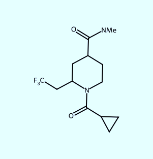 CNC(=O)C1CCN(C(=O)C2CC2)C(CC(F)(F)F)C1